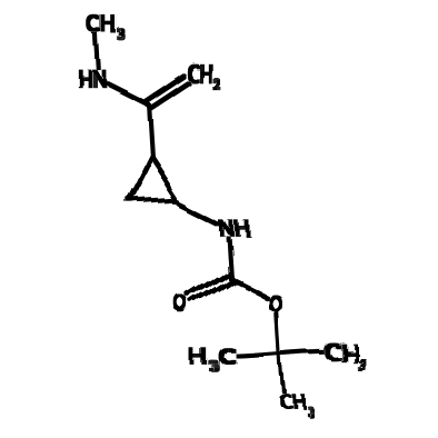 C=C(NC)C1CC1NC(=O)OC(C)(C)C